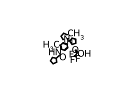 Cc1cc([N+]2(N3CCC[C@@H]3C)CCCC2)ccc1NC(=O)C1CCCC1.O=C(O)C(F)(F)F